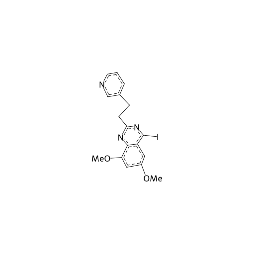 COc1cc(OC)c2nc(CCc3cccnc3)nc(I)c2c1